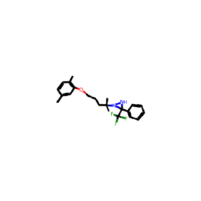 Cc1ccc(C)c(OCCCC(C)(C)N2NC2(c2ccccc2)C(F)(F)F)c1